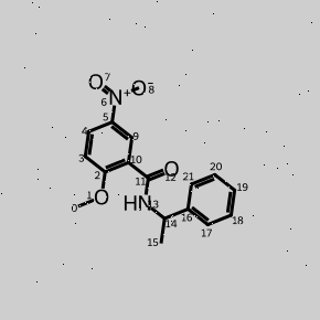 COc1ccc([N+](=O)[O-])cc1C(=O)NC(C)c1ccccc1